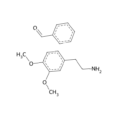 COc1ccc(CCN)cc1OC.O=Cc1ccccc1